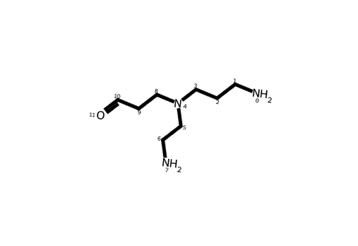 NCCCN(CCN)CCC=O